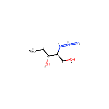 CSC[C@@H](O)[C@H](CO)N=[N+]=[N-]